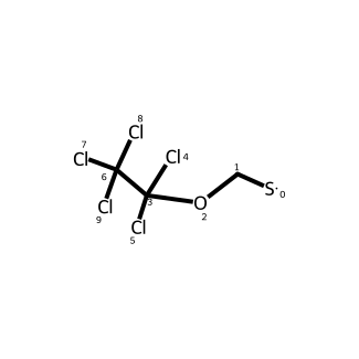 [S]COC(Cl)(Cl)C(Cl)(Cl)Cl